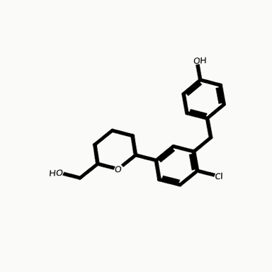 OCC1CCCC(c2ccc(Cl)c(Cc3ccc(O)cc3)c2)O1